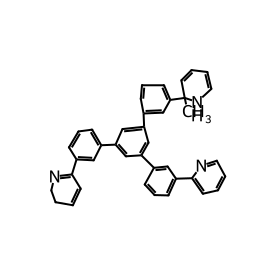 CC1(c2cccc(-c3cc(-c4cccc(C5=NCCC=C5)c4)cc(-c4cccc(-c5ccccn5)c4)c3)c2)C=CC=CN1